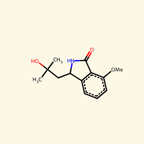 COc1cccc2c1C(=O)NC2CC(C)(C)O